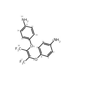 Nc1ccc(OC(=C(Oc2ccc(N)cc2)C(F)(F)F)C(F)(F)F)cc1